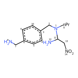 CCCN(Cc1ccc(CN)cc1)C(N)C[N+](=O)[O-]